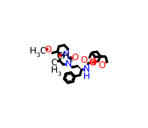 COCC1CCCN(C(=O)N(CC[C@H](Cc2ccccc2)NC(=O)OC2C3COC4OCC2C4C3)CC(C)C)C1